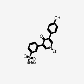 CCCCCCS(=O)(=O)c1cccc(-c2cn(CC)cc(-c3ccc(O)cc3)c2=O)c1